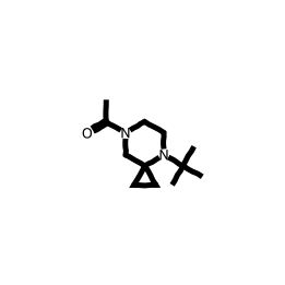 CC(=O)N1CCN(C(C)(C)C)C2(CC2)C1